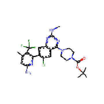 CNc1nc(N2CCN(C(=O)OC(C)(C)C)CC2)c2cc(Cl)c(-c3nc(N)cc(C)c3C(F)(F)F)cc2n1